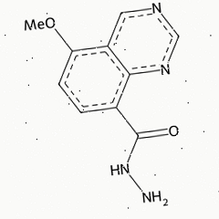 COc1ccc(C(=O)NN)c2ncncc12